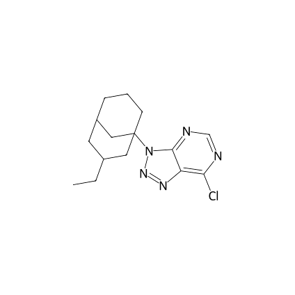 CCC1CC2CCCC(n3nnc4c(Cl)ncnc43)(C1)C2